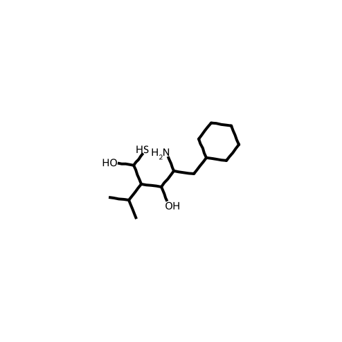 CC(C)C(C(O)S)C(O)C(N)CC1CCCCC1